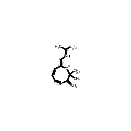 C=C1\N=C/C=C\C(=C\NC(C)C)OC1(C)C